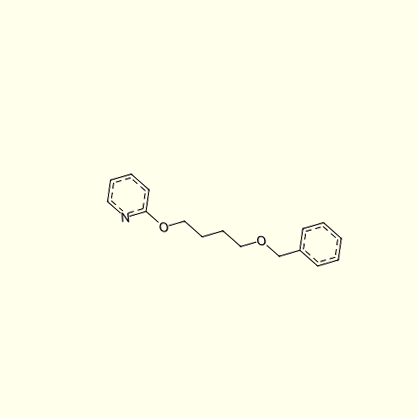 c1ccc(COCCCCOc2ccccn2)cc1